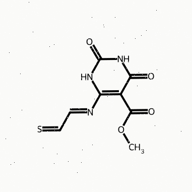 COC(=O)c1c(N=CC=S)[nH]c(=O)[nH]c1=O